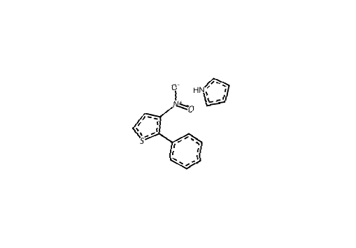 O=[N+]([O-])c1ccsc1-c1ccccc1.c1cc[nH]c1